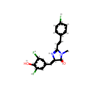 CN1C(=O)/C(=C/c2cc(F)c(O)c(F)c2)N=C1/C=C/c1ccc(F)cc1